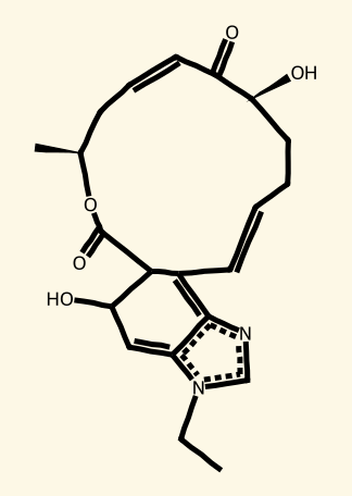 CCn1cnc2c1=CC(O)C1C(=O)O[C@@H](C)C/C=C\C(=O)[C@@H](O)CC/C=C/C=21